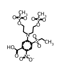 CCS(=O)(=O)c1cc([N+](=O)[O-])c(C(=O)O)cc1N(CCOS(C)(=O)=O)CCOS(C)(=O)=O